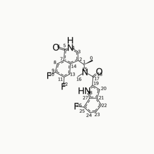 C[C@H](c1c[nH]c(=O)c2cc(F)c(F)cc12)N(C)C(=O)c1cc2cccc(F)c2[nH]1